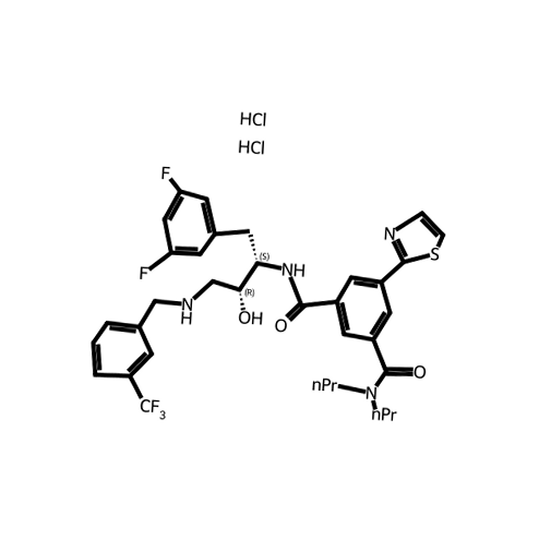 CCCN(CCC)C(=O)c1cc(C(=O)N[C@@H](Cc2cc(F)cc(F)c2)[C@H](O)CNCc2cccc(C(F)(F)F)c2)cc(-c2nccs2)c1.Cl.Cl